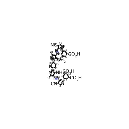 [C-]#[N+]c1cnn(-c2cc(C(=O)O)cc(C(=O)O)c2)c1/N=N/c1c(C)nn(-c2ccc(-n3nc(C)c(/N=N/c4c(C#N)cnn4-c4cc(C(=O)O)cc(C(=O)O)c4)c3N)nn2)c1N